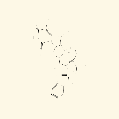 CC(C)OC(=O)[C@H](C)N[P@@](=O)(Oc1ccccc1)O[C@@H](C)[C@H]1O[C@@H](n2cc(F)c(=O)[nH]c2=O)[C@@](F)(CF)C1O